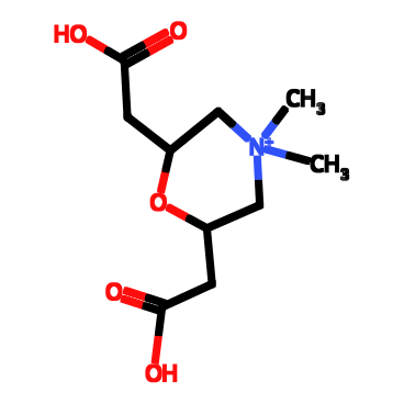 C[N+]1(C)CC(CC(=O)O)OC(CC(=O)O)C1